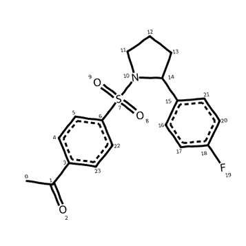 CC(=O)c1ccc(S(=O)(=O)N2CCCC2c2ccc(F)cc2)cc1